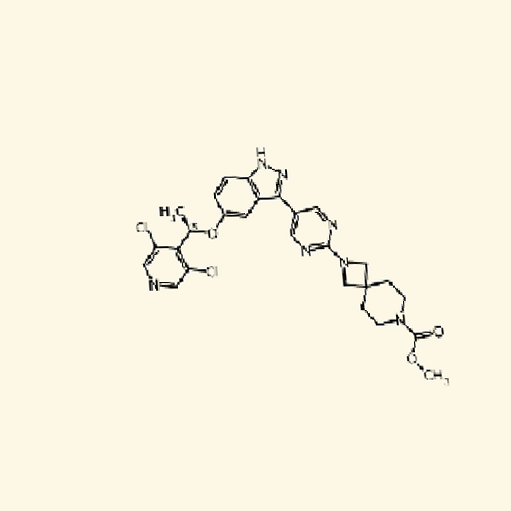 COC(=O)N1CCC2(CC1)CN(c1ncc(-c3n[nH]c4ccc(O[C@H](C)c5c(Cl)cncc5Cl)cc34)cn1)C2